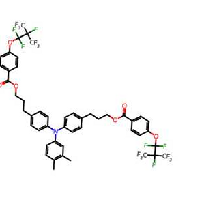 Cc1ccc(N(c2ccc(CCCOC(=O)c3ccc(OC(F)(F)C(F)(C(F)(F)F)C(F)(F)F)cc3)cc2)c2ccc(CCCOC(=O)c3ccc(OC(F)(F)C(F)(C(F)(F)F)C(F)(F)F)cc3)cc2)cc1C